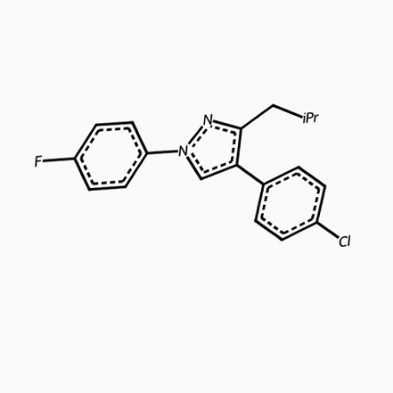 CC(C)Cc1nn(-c2ccc(F)cc2)cc1-c1ccc(Cl)cc1